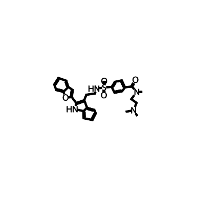 CN(C)CCN(C)C(=O)c1ccc(S(=O)(=O)NCCc2c(-c3cc4ccccc4o3)[nH]c3ccccc23)cc1